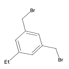 CCc1cc(CBr)cc(CBr)c1